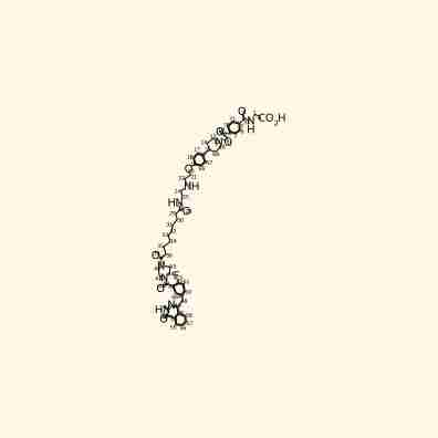 O=C(O)CNC(=O)c1ccc(S(=O)(=O)N2CCC(c3ccc(OCCNCCNC(=O)CCCCCCCCC(=O)N4CCN(C(=O)c5cc(Cc6n[nH]c(=O)c7ccccc67)ccc5F)CC4)cc3)CC2)cc1